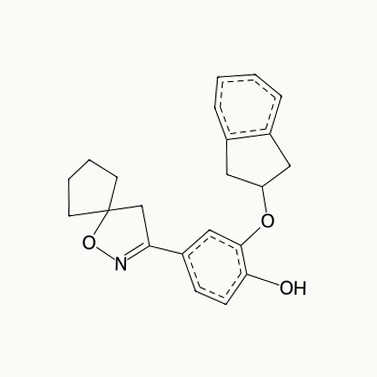 Oc1ccc(C2=NOC3(CCCC3)C2)cc1OC1Cc2ccccc2C1